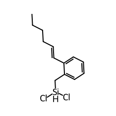 CCCCC=Cc1ccccc1C[SiH](Cl)Cl